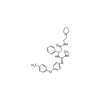 CN/C(=N/c1ccc(Oc2ccc(C)cc2)cc1)NC(CC(=O)NCCN1CCCC1)c1ccccc1